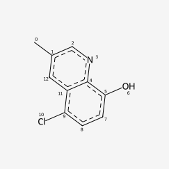 Cc1cnc2c(O)ccc(Cl)c2c1